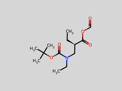 CC[C@H](CN(CC)C(=O)OC(C)(C)C)C(=O)OC=O